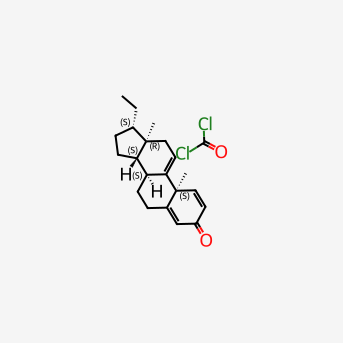 CC[C@H]1CC[C@H]2[C@@H]3CCC4=CC(=O)C=C[C@]4(C)C3=CC[C@]12C.O=C(Cl)Cl